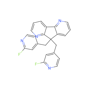 Fc1cc(CC2(Cc3ccnc(F)c3)c3cccnc3-c3cccnc32)ccn1